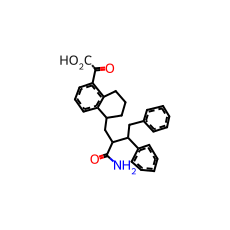 NC(=O)C(CC1CCCc2c(C(=O)C(=O)O)cccc21)C(Cc1ccccc1)c1ccccc1